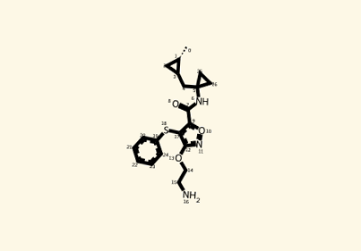 C[C@H]1CC1CC1(NC(=O)c2onc(OCCN)c2Sc2ccccc2)CC1